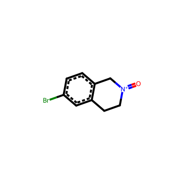 O=[N+]1CCc2cc(Br)ccc2C1